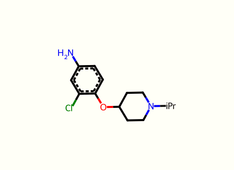 CC(C)N1CCC(Oc2ccc(N)cc2Cl)CC1